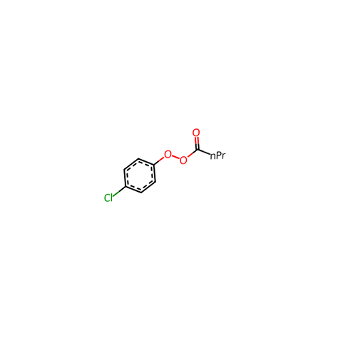 CCCC(=O)OOc1ccc(Cl)cc1